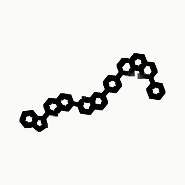 C1=CC(c2ccccc2)Nc2c1ccc1c2NC(c2ccc(-c3ccc4ccc(-c5ccc6ccc(C7=NCc8ccccc87)nc6c5)nc4c3)cc2)C=C1